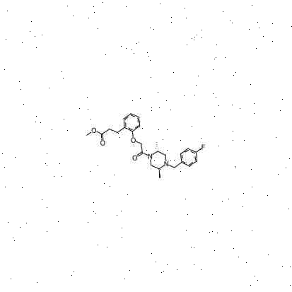 COC(=O)CCc1ccccc1OCC(=O)N1C[C@H](C)N(Cc2ccc(F)cc2)C[C@H]1C